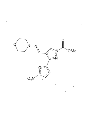 COC(=O)n1cc(C=NN2CCOCC2)c(-c2ccc([N+](=O)[O-])o2)n1